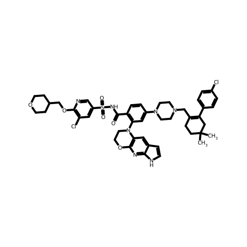 CC1(C)CCC(CN2CCN(c3ccc(C(=O)NS(=O)(=O)c4cnc(OCC5CCOCC5)c(Cl)c4)c(N4CCOc5nc6[nH]ccc6cc54)c3)CC2)=C(c2ccc(Cl)cc2)C1